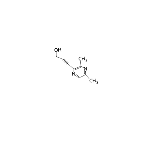 Cc1cnc(C#CCO)c(C)n1